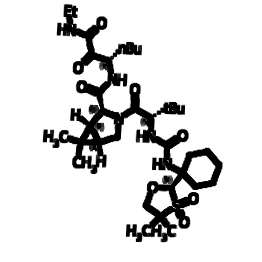 CCCC[C@H](NC(=O)[C@@H]1[C@@H]2[C@H](CN1C(=O)[C@@H](NC(=O)NC1([C@@H]3OCC(C)(C)S3(=O)=O)CCCCC1)C(C)(C)C)C2(C)C)C(=O)C(=O)NCC